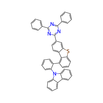 c1ccc(-c2nc(-c3ccccc3)nc(-c3ccc4c(c3)sc3cccc(-c5ccccc5-n5c6ccccc6c6ccccc65)c34)n2)cc1